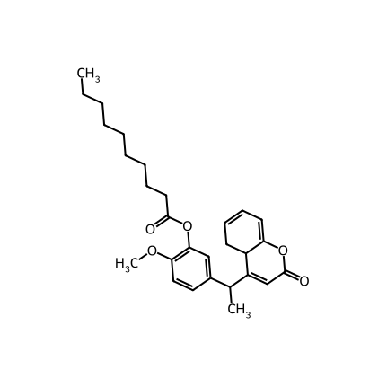 CCCCCCCCCC(=O)Oc1cc(C(C)C2=CC(=O)OC3=CC=CCC32)ccc1OC